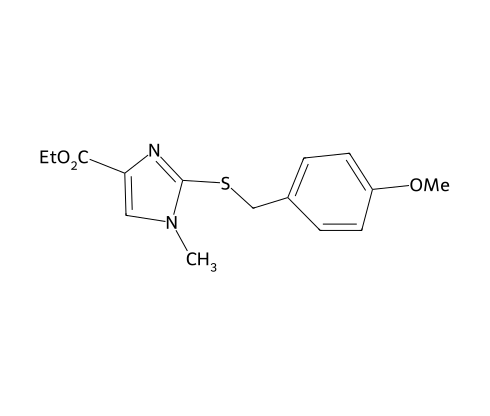 CCOC(=O)c1cn(C)c(SCc2ccc(OC)cc2)n1